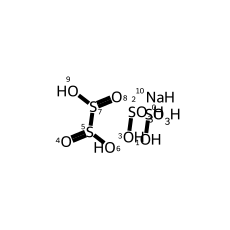 O=S(=O)(O)O.O=S(=O)(O)O.O=S(O)S(=O)O.[NaH]